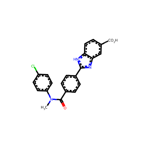 CN(C(=O)c1ccc(-c2nc3cc(C(=O)O)ccc3[nH]2)cc1)c1ccc(Cl)cc1